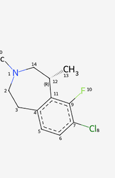 CC(=O)N1CCc2ccc(Cl)c(F)c2[C@@H](C)C1